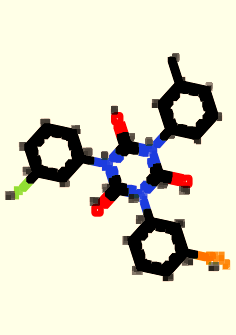 Cc1cccc(-n2c(=O)n(-c3cccc(F)c3)c(=O)n(-c3cccc(P)c3)c2=O)c1